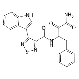 NC(=O)C(=O)C(Cc1ccccc1)NC(=O)c1nsnc1-c1c[nH]c2ccccc12